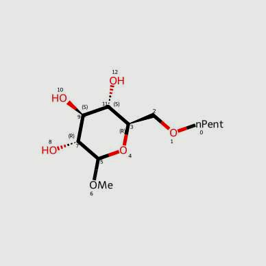 CCCCCOC[C@H]1OC(OC)[C@H](O)[C@@H](O)[C@@H]1O